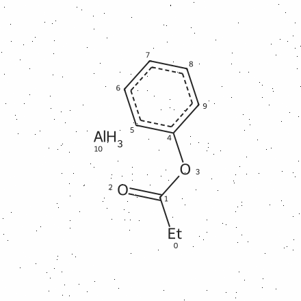 CCC(=O)Oc1ccccc1.[AlH3]